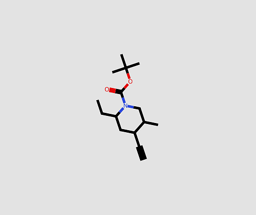 C#CC1CC(CC)N(C(=O)OC(C)(C)C)CC1C